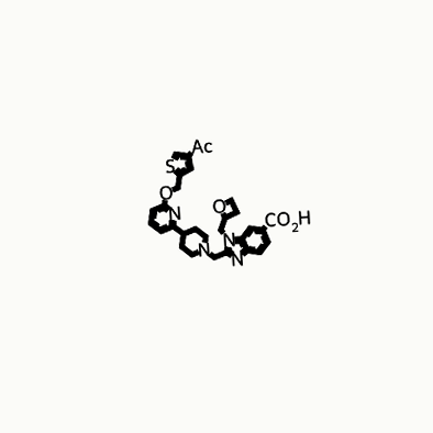 CC(=O)c1csc(COc2cccc(C3CCN(Cc4nc5ccc(C(=O)O)cc5n4CC4CCO4)CC3)n2)c1